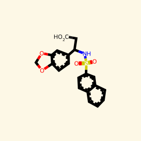 O=C(O)CC(NS(=O)(=O)c1ccc2ccccc2c1)c1ccc2c(c1)OCO2